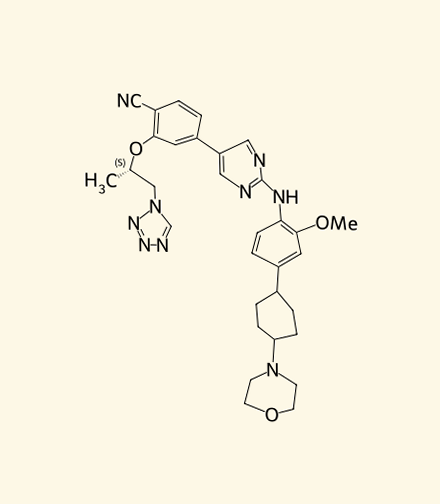 COc1cc(C2CCC(N3CCOCC3)CC2)ccc1Nc1ncc(-c2ccc(C#N)c(O[C@@H](C)Cn3cnnn3)c2)cn1